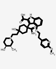 COc1ccc(CCOc2cccc3[nH]c(C(=O)O)c(C4(C(N)=O)CCC(O)(CCN5CC[C@H](O)[C@@H](C)C5)CC4)c23)cn1